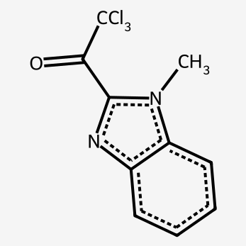 Cn1c(C(=O)C(Cl)(Cl)Cl)nc2ccccc21